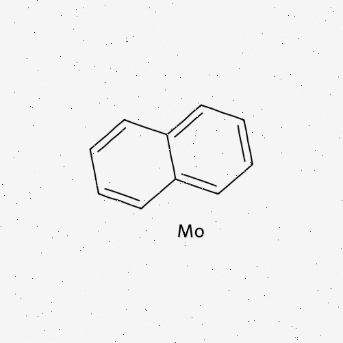 [Mo].c1ccc2ccccc2c1